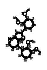 COc1cccc(-c2cc3nccc(-c4cccc(OC)c4OC)c3o2)c1OC